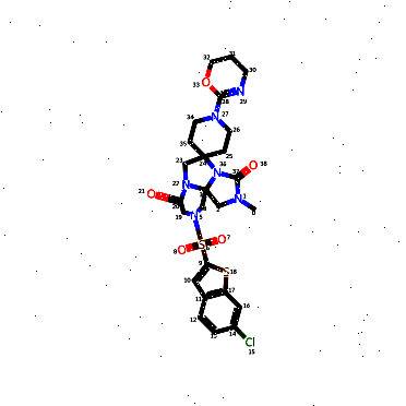 CN1CC23CN(S(=O)(=O)c4cc5ccc(Cl)cc5s4)CC(=O)N2CC2(CCN(C4=NCCCO4)CC2)N3C1=O